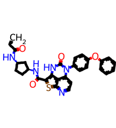 C=CC(=O)N[C@@H]1CC[C@H](NC(=O)c2sc3nccc4c3c2NC(=O)N4c2ccc(Oc3ccccc3)cc2)C1